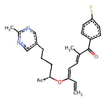 C=C/C(=C\C=C(/C)C(=O)c1ccc(F)cc1)O[C@H](CCCc1cnc(C)nc1)C(C)=O